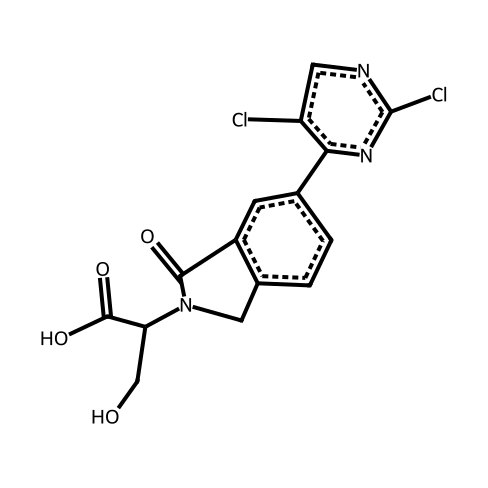 O=C(O)C(CO)N1Cc2ccc(-c3nc(Cl)ncc3Cl)cc2C1=O